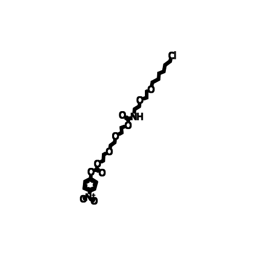 O=C(NCCOCCOCCCCCCCl)OCCOCCOCCOC(=O)Oc1ccc([N+](=O)[O-])cc1